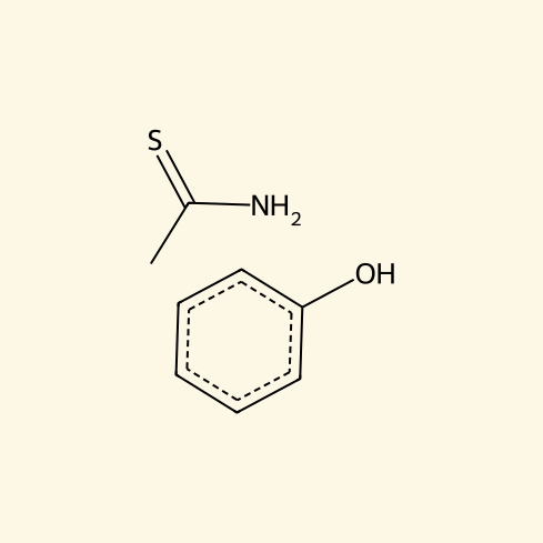 CC(N)=S.Oc1ccccc1